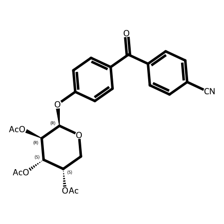 CC(=O)O[C@@H]1[C@@H](OC(C)=O)[C@@H](Oc2ccc(C(=O)c3ccc(C#N)cc3)cc2)OC[C@@H]1OC(C)=O